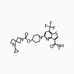 CNC(=O)c1csc2c(C(F)(F)F)cc(N3CCC(OC(=O)N4CC5(CCN5C5CC5)C4)CC3)nc12